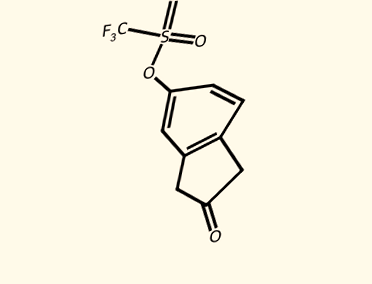 O=C1Cc2ccc(OS(=O)(=O)C(F)(F)F)cc2C1